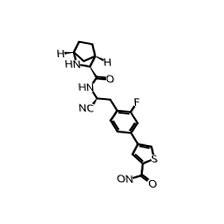 N#C[C@H](Cc1ccc(-c2csc(C(=O)N=O)c2)cc1F)NC(=O)[C@H]1N[C@@H]2CC[C@H]1C2